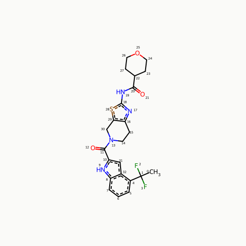 CC(F)(F)c1cccc2[nH]c(C(=O)N3CCc4nc(NC(=O)C5CCOCC5)sc4C3)cc12